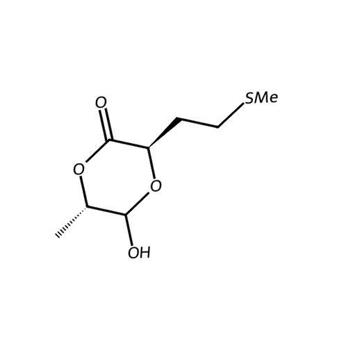 CSCC[C@H]1OC(O)[C@H](C)OC1=O